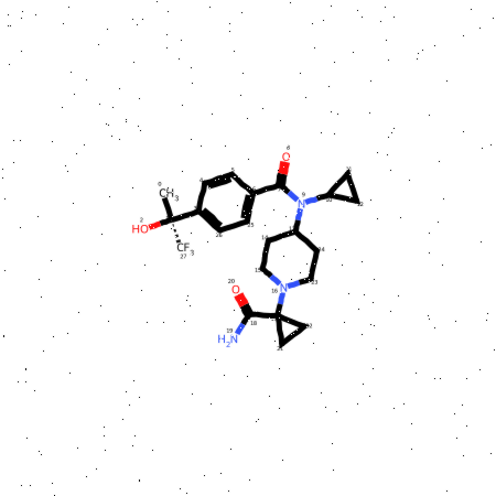 C[C@](O)(c1ccc(C(=O)N(C2CC2)C2CCN(C3(C(N)=O)CC3)CC2)cc1)C(F)(F)F